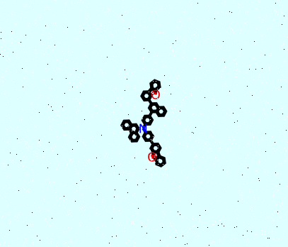 c1ccc2c(-c3ccc(N(c4ccc(-c5ccc6c(c5)oc5ccccc56)cc4)c4cc5ccccc5c5ccccc45)cc3)cc(-c3cccc4c3oc3ccccc34)cc2c1